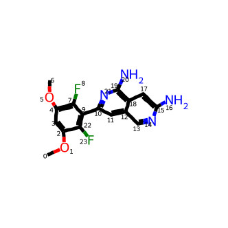 COc1cc(OC)c(F)c(-c2cc3cnc(N)cc3c(N)n2)c1F